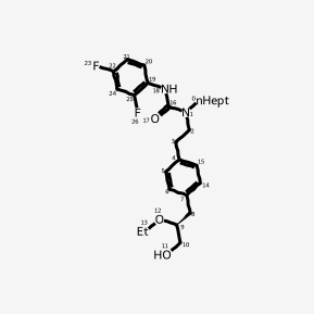 CCCCCCCN(CCc1ccc(C[C@@H](CO)OCC)cc1)C(=O)Nc1ccc(F)cc1F